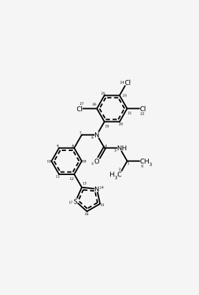 CC(C)NC(=O)N(Cc1cccc(-c2nccs2)c1)c1cc(Cl)c(Cl)cc1Cl